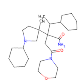 CC(C1CCCCC1)C(CC(=O)N1CCOCC1)(C(N)=O)C1(C#N)CCN(C2CCCCC2)C1